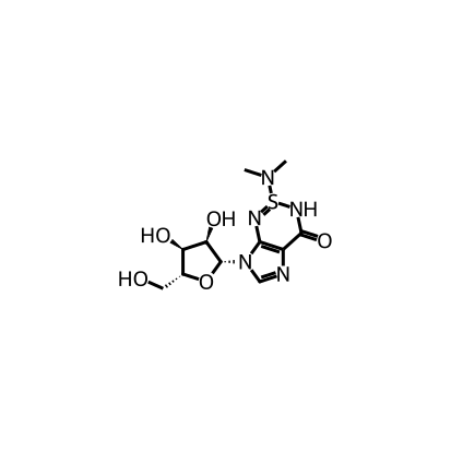 CN(C)S1=Nc2c(ncn2[C@@H]2O[C@H](CO)[C@@H](O)[C@H]2O)C(=O)N1